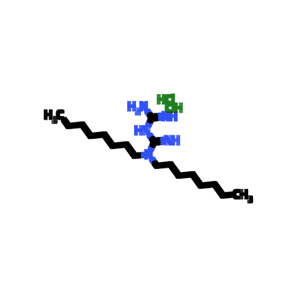 CCCCCCCCN(CCCCCCCC)C(=N)NC(=N)N.Cl.Cl